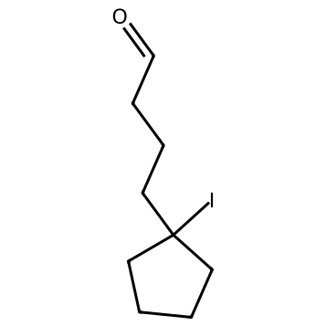 O=CCCCC1(I)CCCC1